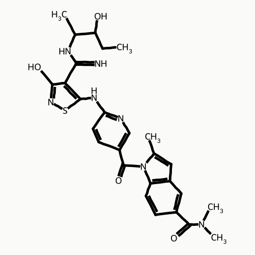 CCC(O)C(C)NC(=N)c1c(O)nsc1Nc1ccc(C(=O)n2c(C)cc3cc(C(=O)N(C)C)ccc32)cn1